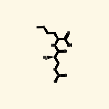 CSCC[C@H](NC(=O)[C@@H](N)CO[N+](=O)[O-])C(=O)O